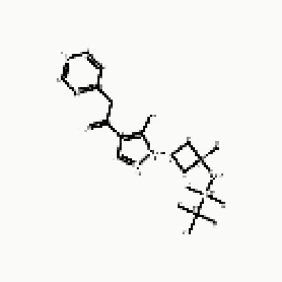 Cc1c(C(=O)Cc2ccncn2)cnn1[C@H]1C[C@@](C)(O[Si](C)(C)C(C)(C)C)C1